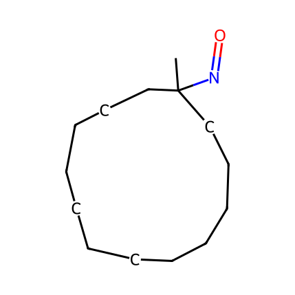 CC1(N=O)CCCCCCCCCCCC1